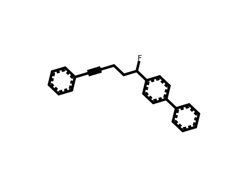 FC(CCC#Cc1ccccc1)c1ccc(-c2ccccc2)cc1